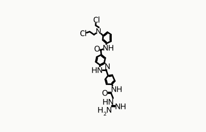 N=C(N)NCC(=O)Nc1ccc(-c2nc3cc(C(=O)Nc4cccc(N(CCCl)CCCl)c4)ccc3[nH]2)cc1